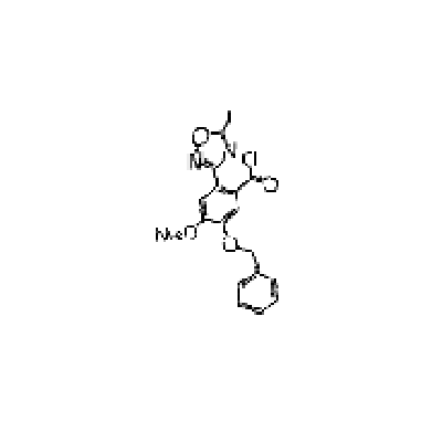 COc1cc(-c2noc(C)n2)c(C(=O)Cl)cc1OCc1ccccc1